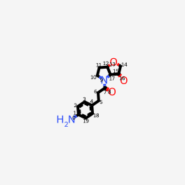 Nc1ccc(CCC(=O)N2CCC3OCC(=O)C32)cc1